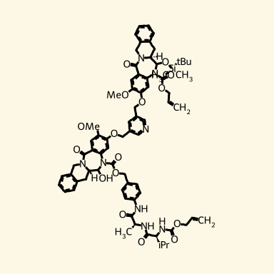 C=CCOC(=O)N[C@H](C(=O)N[C@@H](C)C(=O)Nc1ccc(COC(=O)N2c3cc(OCc4cncc(COc5cc6c(cc5OC)C(=O)N5Cc7ccccc7C[C@H]5C(O[Si](C)(C)C(C)(C)C)N6C(=O)OCC=C)c4)c(OC)cc3C(=O)N3Cc4ccccc4C[C@H]3C2O)cc1)C(C)C